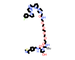 Cc1ncsc1-c1ccc(CNC(=O)[C@@H]2C[C@@H](O)CN2C(=O)[C@@H](NC(=O)CCOCCOCCOCCOCCNC(=O)CN2CCN(c3cccc(-c4cnc5ccc(N6CCC[C@@H]6c6cccc(F)c6)nn45)n3)CC2)C(C)(C)C)cc1